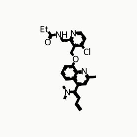 C=C/C=C(/c1cc(C)nc2c(OCc3c(Cl)ccnc3CNC(=O)CC)cccc12)N(C)C